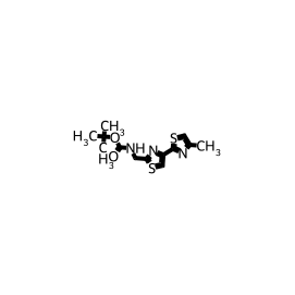 Cc1csc(-c2csc(CNC(=O)OC(C)(C)C)n2)n1